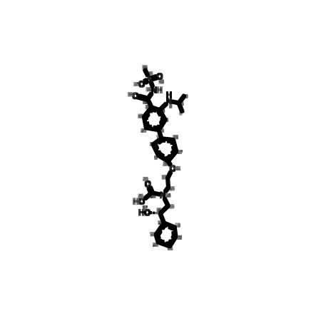 CC(C)Nc1cc(-c2ccc(OCCN(C[C@@H](O)c3ccccc3)C(=O)O)cc2)ccc1C(=O)NS(C)(=O)=O